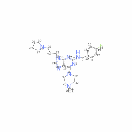 CCN1CCN(c2nc(NCc3ccc(F)cc3)nc3c2ncn3CCCN2CCCC2)CC1